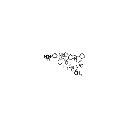 C[C@@H]1CN(C(=O)C2=Cc3ccccc3-c3cc4ccc(C(=O)N(C5CCCCC5)C5(C(=O)Nc6ccc(-n7cncn7)cc6)CCCC5)cc4n3C2)C[C@H](C)O1